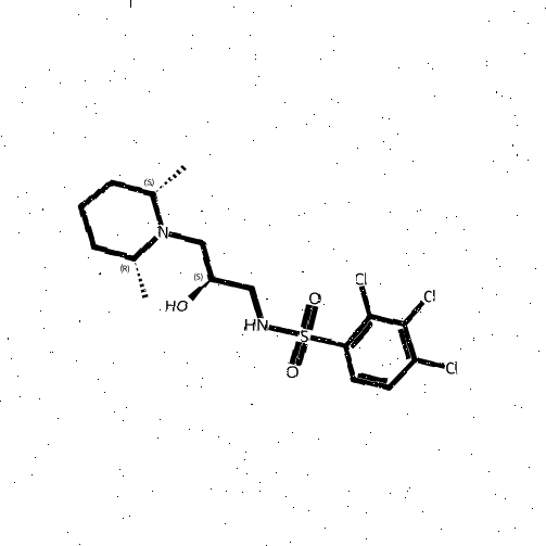 C[C@@H]1CCC[C@H](C)N1C[C@H](O)CNS(=O)(=O)c1ccc(Cl)c(Cl)c1Cl